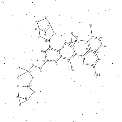 Oc1cc(-c2c(F)cc3c(N4CC5CCC(C4)N5)nc(OCC4(CN5CC6CC6C5)CC4)nc3c2F)c2c(C3CC3)c(F)ccc2c1